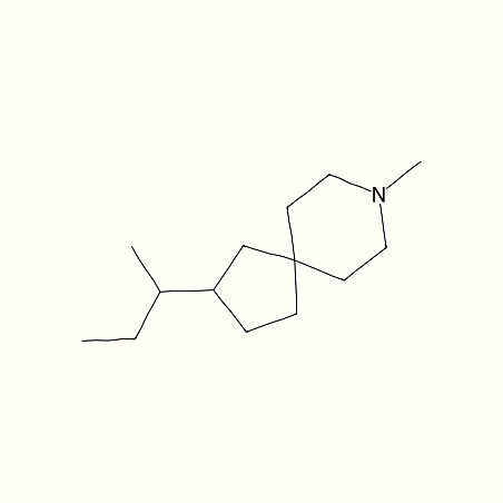 CCC(C)C1CCC2(CCN(C)CC2)C1